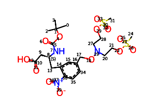 CC(C)(C)OC(=O)N[C@H](CC(=O)O)Cc1cc(CON(CCOS(C)(=O)=O)CCOS(C)(=O)=O)ccc1[N+](=O)[O-]